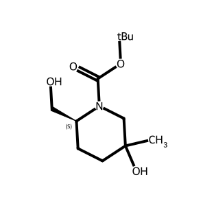 CC1(O)CC[C@@H](CO)N(C(=O)OC(C)(C)C)C1